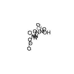 CC(C)(C)C1C(Cc2ccccc2)N(C(=O)c2nnn(-c3cccc(OCc4ccccc4)c3)c2-c2ccccc2)CCN1C(=O)O